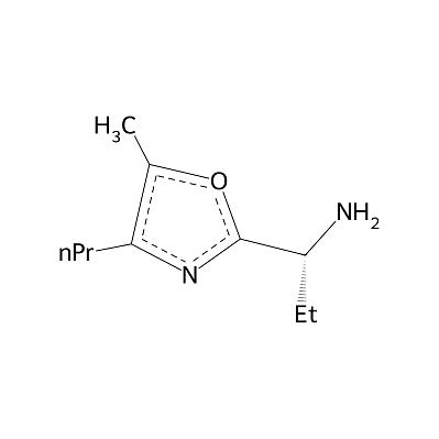 CCCc1nc([C@H](N)CC)oc1C